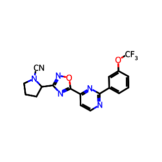 N#CN1CCCC1c1noc(-c2ccnc(-c3cccc(OC(F)(F)F)c3)n2)n1